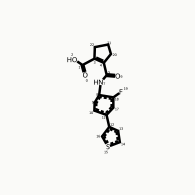 O=C(O)C1=C(C(=O)Nc2ccc(-c3ccsc3)cc2F)CCC1